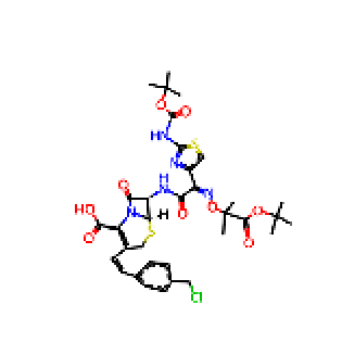 CC(C)(C)OC(=O)Nc1nc(/C(=N/OC(C)(C)C(=O)OC(C)(C)C)C(=O)N[C@@H]2C(=O)N3C(C(=O)O)=C(/C=C\c4ccc(CCl)cc4)CS[C@H]23)cs1